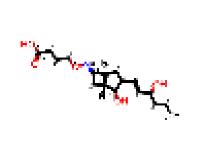 CCCC(O)C=CC1C[C@@H]2C(=NOCCCC(=O)O)C[C@H]2C1O